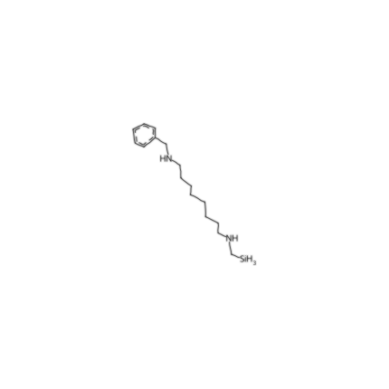 [SiH3]CNCCCCCCCCNCc1ccccc1